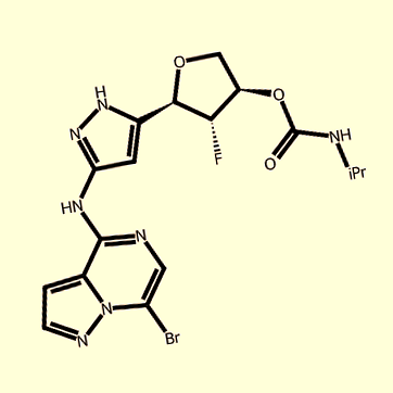 CC(C)NC(=O)O[C@@H]1CO[C@H](c2cc(Nc3ncc(Br)n4nccc34)n[nH]2)[C@H]1F